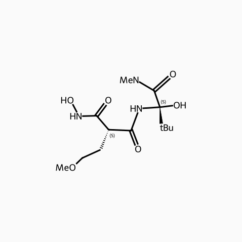 CNC(=O)[C@](O)(NC(=O)[C@H](CCOC)C(=O)NO)C(C)(C)C